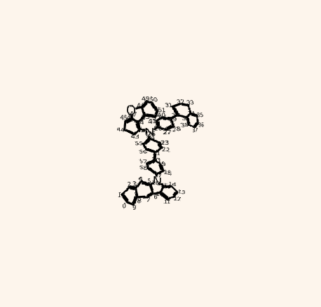 c1ccc2cc3c(cc2c1)c1ccccc1n3-c1ccc(-c2ccc(N(c3ccc(-c4cccc5ccccc45)cc3)c3cccc4oc5ccccc5c34)cc2)cc1